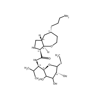 CSC1O[C@H]([C@H](NC(=O)[C@H]2NC[C@@H]3C[C@H](CCCN)CCO[C@H]32)C(C)C)C(O)C(O)[C@H]1O